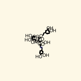 C[C@@H]1OC(O[C@H]2[C@H](OC(=O)/C=C/c3ccc(O)c(O)c3)[C@@H](CO)OC(OCCc3ccc(O)c(O)c3)[C@@H]2O)[C@H](O)[C@H](O)[C@H]1O